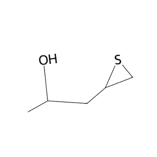 CC(O)CC1CS1